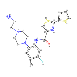 CC(C)c1cc(N2CCN(CCN)CC2)c(NC(=O)c2csc(-c3cccs3)n2)cc1F